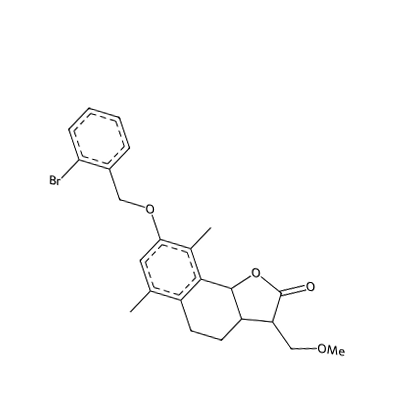 COCC1C(=O)OC2c3c(C)c(OCc4ccccc4Br)cc(C)c3CCC12